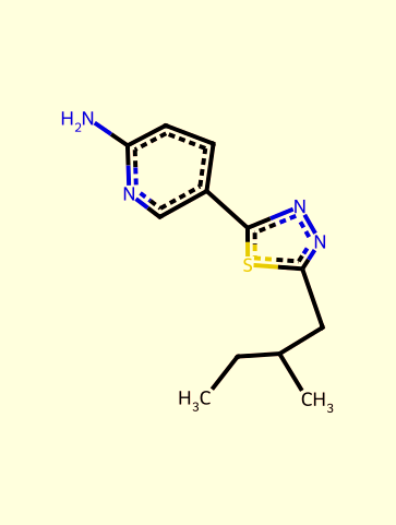 CCC(C)Cc1nnc(-c2ccc(N)nc2)s1